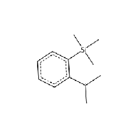 C[C](C)c1ccccc1[Si](C)(C)C